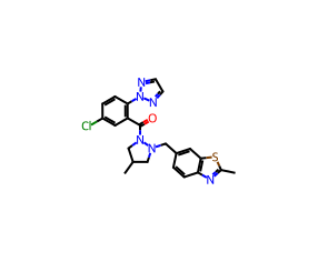 Cc1nc2ccc(CN3CC(C)CN3C(=O)c3cc(Cl)ccc3-n3nccn3)cc2s1